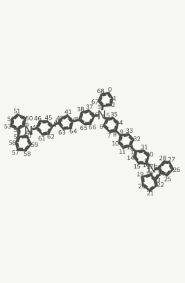 c1ccc(N(c2ccc(-c3ccc(-c4ccc(-n5c6ccccc6c6ccccc65)cc4)cc3)cc2)c2ccc(-c3ccc(-c4ccc(-n5c6ccccc6c6ccccc65)cc4)cc3)cc2)cc1